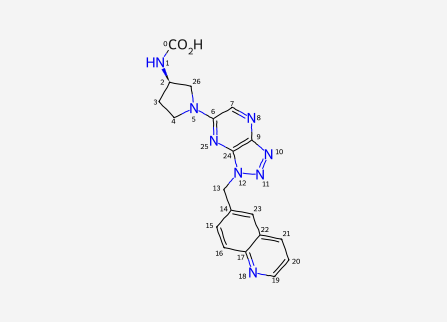 O=C(O)N[C@@H]1CCN(c2cnc3nnn(Cc4ccc5ncccc5c4)c3n2)C1